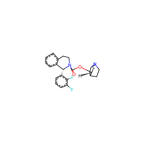 O=C(O[C@@H]1CN2CCC1CC2)N1CCc2ccccc2[C@H]1c1cccc(F)c1F